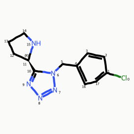 Clc1ccc(Cn2nnnc2[C@H]2CCCN2)cc1